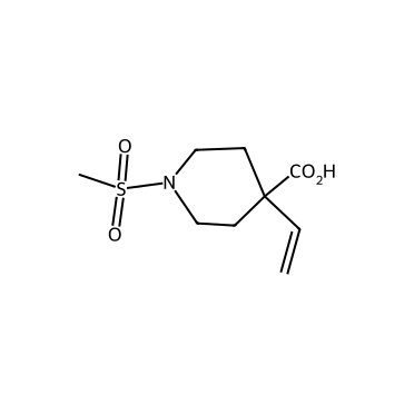 C=CC1(C(=O)O)CCN(S(C)(=O)=O)CC1